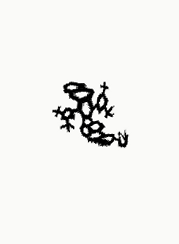 CC(C)(C)c1cc(-c2c3c(c(-c4cc(C(C)(C)C)cc(C(C)(C)C)c4)c4cc5ccccc5cc24)-c2ccc4c5c(ccc-3c25)-c2ccc(-c3ccccn3)cc2-4)cc(C(C)(C)C)c1